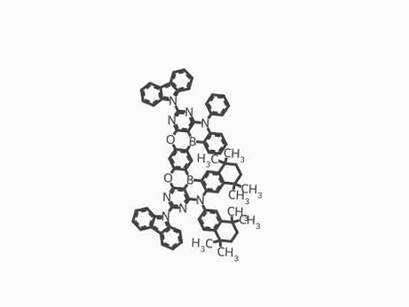 CC1(C)CCC(C)(C)c2cc(N3c4cc5c(cc4B4c6cc7c(cc6Oc6nc(-n8c9ccccc9c9ccccc98)nc3c64)Oc3nc(-n4c6ccccc6c6ccccc64)nc4c3B7c3ccccc3N4c3ccccc3)C(C)(C)CCC5(C)C)ccc21